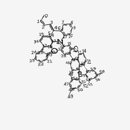 C/C=C\C=C(/C)c1ccccc1N(C1=C=C=Cc2c1oc1ccccc21)c1ccc2c(c1)Oc1ccc3c4c(ccc-2c14)B(c1c(C)cc(C)cc1C)c1c(C)cc(C)cc1-3